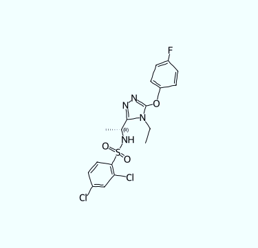 CCn1c(Oc2ccc(F)cc2)nnc1[C@@H](C)NS(=O)(=O)c1ccc(Cl)cc1Cl